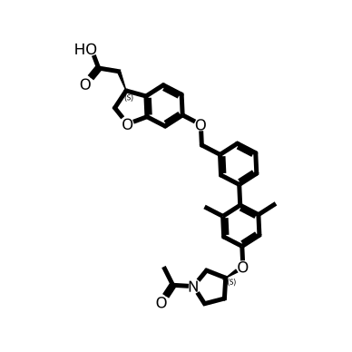 CC(=O)N1CC[C@H](Oc2cc(C)c(-c3cccc(COc4ccc5c(c4)OC[C@H]5CC(=O)O)c3)c(C)c2)C1